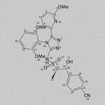 COc1cccc(-c2nnc(NS(=O)(=O)[C@H](C)[C@H](O)c3ccc(C#N)cc3)n2-c2c(OC)cccc2OC)n1